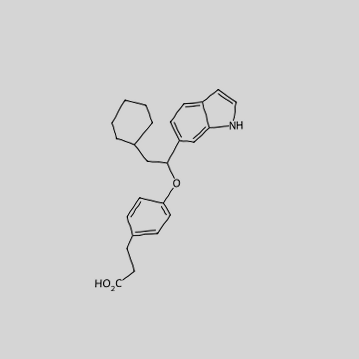 O=C(O)CCc1ccc(OC(CC2CCCCC2)c2ccc3cc[nH]c3c2)cc1